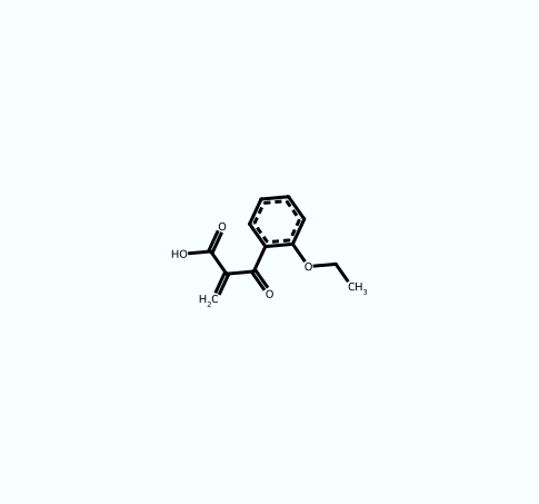 C=C(C(=O)O)C(=O)c1ccccc1OCC